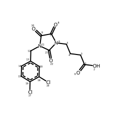 O=C(O)CCCN1C(=O)C(=O)N(Cc2ccc(Cl)c(Cl)c2)C1=O